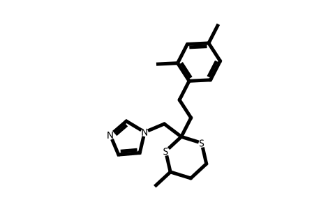 Cc1ccc(CCC2(Cn3ccnc3)SCCC(C)S2)c(C)c1